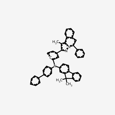 Cc1c(-c2cccc(N(c3ccc(-c4ccccc4)cc3)c3ccc4c(c3)C(C)(C)c3ccccc3-4)c2)nn2c(-c3ccccc3)cc3ccccc3c12